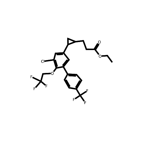 CCOC(=O)CCC1CC1c1cc(Cl)c(OCC(F)(F)F)c(-c2ccc(C(F)(F)F)cc2)c1